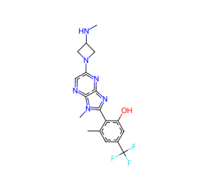 CNC1CN(c2cnc3c(n2)nc(-c2c(C)cc(C(F)(F)F)cc2O)n3C)C1